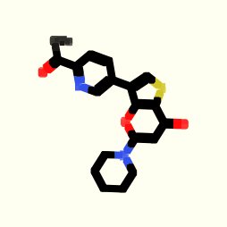 COC(=O)c1ccc(-c2csc3c(=O)cc(N4CCCCC4)oc23)cn1